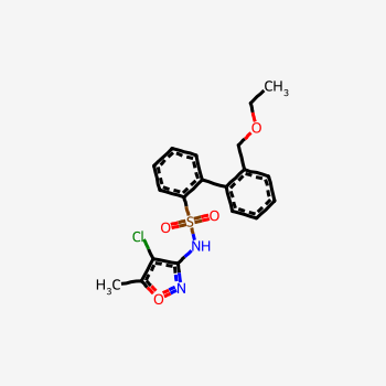 CCOCc1ccccc1-c1ccccc1S(=O)(=O)Nc1noc(C)c1Cl